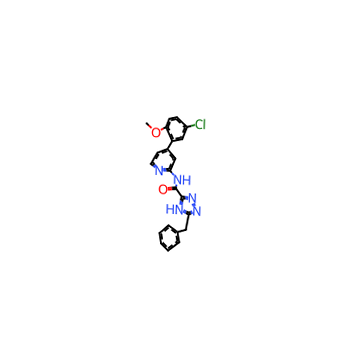 COc1ccc(Cl)cc1-c1ccnc(NC(=O)c2nnc(Cc3ccccc3)[nH]2)c1